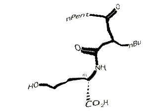 CCCCCC(=O)C(CCCC)C(=O)N[C@@H](CCO)C(=O)O